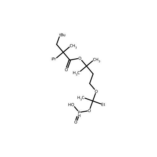 CCC(C)(OCCC(C)(C)OC(=O)C(C)(CC(C)(C)C)C(C)C)O[PH](=O)O